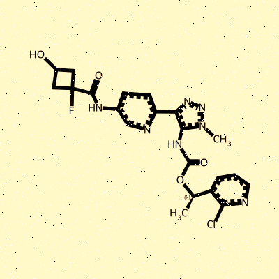 C[C@@H](OC(=O)Nc1c(-c2ccc(NC(=O)C3(F)CC(O)C3)cn2)nnn1C)c1cccnc1Cl